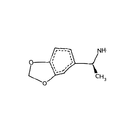 C[C@H]([NH])c1ccc2c(c1)OCO2